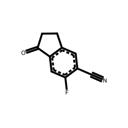 N#Cc1cc2c(cc1F)C(=O)CC2